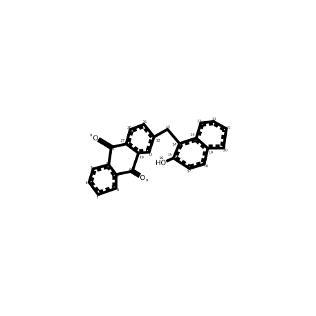 O=C1c2ccccc2C(=O)c2cc(Cc3c(O)ccc4ccccc34)ccc21